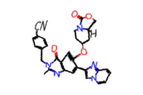 Cc1nc2cc(-c3cn4ccccc4n3)c(O[C@H]3CCN4C(=O)OC[C@@H]4C3)cc2c(=O)n1Cc1ccc(C#N)cc1